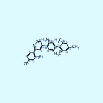 CCc1cc(Cl)ccc1-c1cc(-c2ccc(-c3c(C)cc(C)cc3C)cc2N)ccn1